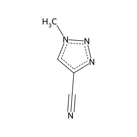 Cn1cc(C#N)nn1